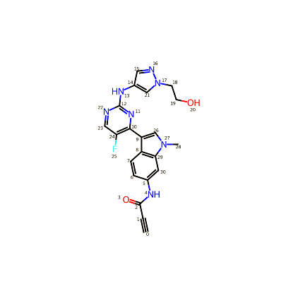 C#CC(=O)Nc1ccc2c(-c3nc(Nc4cnn(CCO)c4)ncc3F)cn(C)c2c1